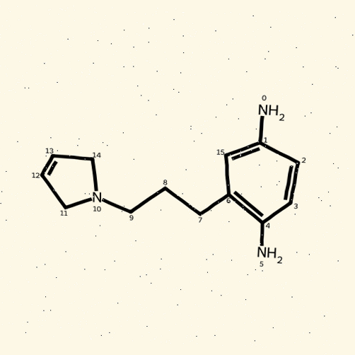 Nc1ccc(N)c(CCCN2CC=CC2)c1